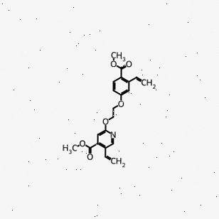 C=Cc1cc(OCCOc2cc(C(=O)OC)c(C=C)cn2)ccc1C(=O)OC